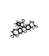 O=C1CCc2cc3c(cc2O1)Oc1cc2c(cc1C31OC(=O)c3ccccc31)CCC(=O)O2